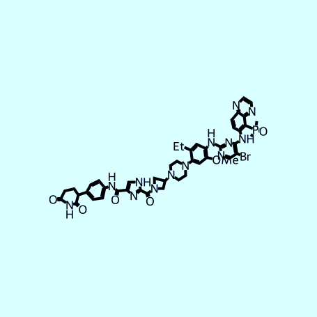 CCc1cc(Nc2ncc(Br)c(Nc3ccc4nccnc4c3P(C)(C)=O)n2)c(OC)cc1N1CCN(C2CN(C(=O)c3nc(C(=O)Nc4ccc(C5CCC(=O)NC5=O)cc4)c[nH]3)C2)CC1